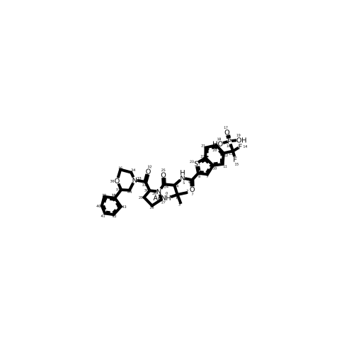 CC(=O)NC(C)(C)C(NC(=O)c1cc2cc(C(F)(F)P(=O)(O)O)ccc2s1)C(=O)N1CCCC1C(=O)N1CCOC(c2ccccc2)C1